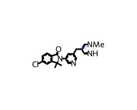 CN/C=C(\C=N)Cc1cncc(N2C(=O)c3ccc(Cl)cc3C2(C)C)c1